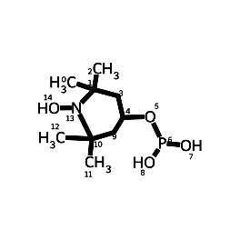 CC1(C)CC(OP(O)O)CC(C)(C)N1O